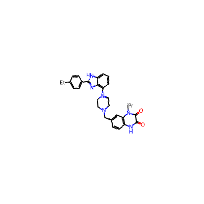 CCc1ccc(-c2nc3c(N4CCN(Cc5ccc6[nH]c(=O)c(=O)n(C(C)C)c6c5)CC4)cccc3[nH]2)cc1